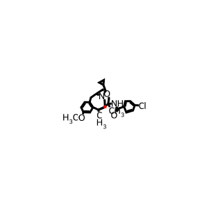 COc1ccc2c(c1)C1(C)CCN(CC3CC3)C(COCC(C)(NC(=O)c3ccc(Cl)cc3)C1)C2